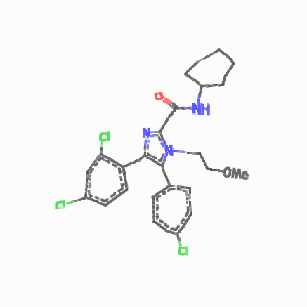 COCCn1c(C(=O)NC2CCCCC2)nc(-c2ccc(Cl)cc2Cl)c1-c1ccc(Cl)cc1